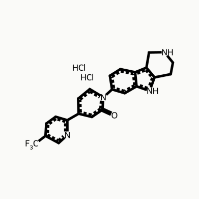 Cl.Cl.O=c1cc(-c2ccc(C(F)(F)F)cn2)ccn1-c1ccc2c3c([nH]c2c1)CCNC3